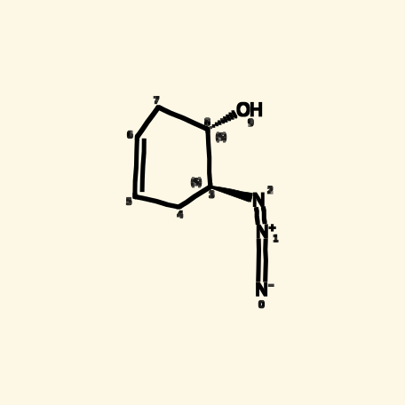 [N-]=[N+]=N[C@H]1CC=CC[C@@H]1O